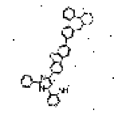 Sc1ccccc1-c1cc(-c2ccc3c(c2)oc2cc(-c4ccc5c(c4)CC4CCCCC4c4ccccc4-5)ccc23)nc(-c2ccccc2)n1